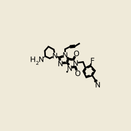 CC#CCn1c(N2CCC[C@@H](N)C2)nc2c1c(=O)n(Cc1ccc(C#N)cc1F)c(=O)n2C